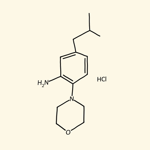 CC(C)Cc1ccc(N2CCOCC2)c(N)c1.Cl